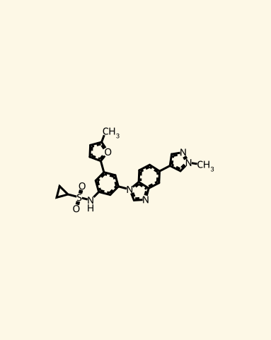 Cc1ccc(-c2cc(NS(=O)(=O)C3CC3)cc(-n3cnc4cc(-c5cnn(C)c5)ccc43)c2)o1